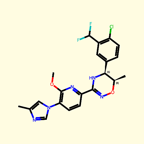 COc1nc(C2=NO[C@H](C)[C@H](c3ccc(Cl)c(C(F)F)c3)N2)ccc1-n1cnc(C)c1